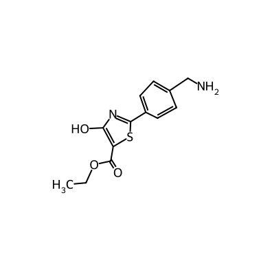 CCOC(=O)c1sc(-c2ccc(CN)cc2)nc1O